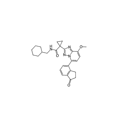 COc1ccc(-c2cccc3c2CCC3=O)n2nc(C3(C(=O)NCC4CCCCC4)CC3)nc12